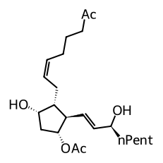 CCCCC[C@H](O)/C=C/[C@@H]1[C@@H](C/C=C\CCCC(C)=O)[C@@H](O)C[C@H]1OC(C)=O